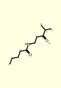 CCCCC(=O)NCCC(=O)C(C)C